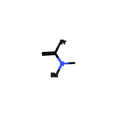 C=C(C(C)C)N(C)C(C)CC